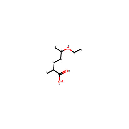 CCOC(C)CCC(C)C(=O)O